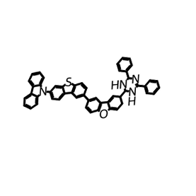 C1=c2oc3ccc(-c4ccc5sc6cc(-n7c8ccccc8c8ccccc87)ccc6c5c4)cc3c2=CC(C2NC(c3ccccc3)=NC(c3ccccc3)N2)C1